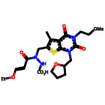 CCO/C=C/C(=O)N(Cc1sc2c(c1C)c(=O)n(CCOC)c(=O)n2CC1CCCO1)NC(=O)O